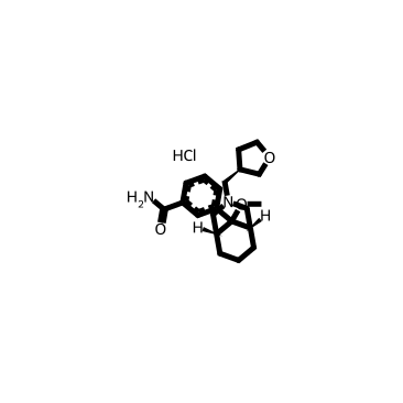 COC1(c2cccc(C(N)=O)c2)[C@@H]2CCC[C@H]1CN(C[C@H]1CCOC1)C2.Cl